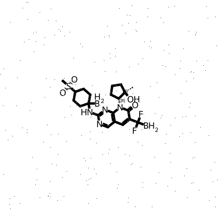 BC1(Nc2ncc3cc(C(B)(F)F)c(=O)n([C@@H]4CCC[C@@]4(C)O)c3n2)CCC(S(C)(=O)=O)CC1